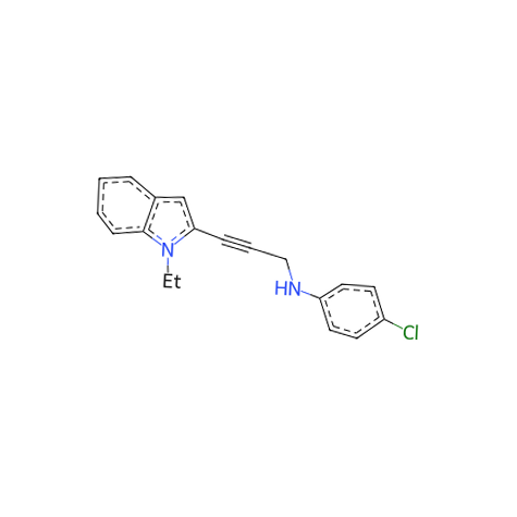 CCn1c(C#CCNc2ccc(Cl)cc2)cc2ccccc21